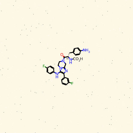 Nc1ccc(C[C@H](NC(=O)O)C(=O)N2CCn3c(nc(-c4cccc(F)c4)c3Nc3ccc(F)cc3)C2)cc1